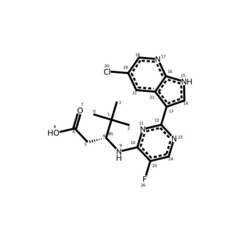 CC(C)(C)[C@@H](CC(=O)O)Nc1nc(-c2c[nH]c3ncc(Cl)cc23)ncc1F